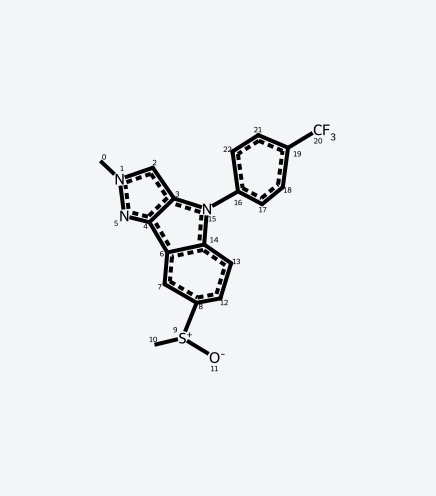 Cn1cc2c(n1)c1cc([S+](C)[O-])ccc1n2-c1ccc(C(F)(F)F)cc1